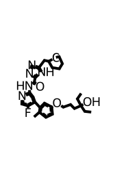 CCC(O)(CC)CCCOc1ccc(C)c(-c2cc(NC(=O)c3nnc(CC4CCCCC4)[nH]3)ncc2F)c1